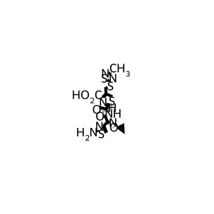 Cc1nsc(SCC2=C(C(=O)O)N3C(=O)[C@@H](NC(=O)C(=NOC4CC4)c4csc(N)n4)[C@@H]3SC2)n1